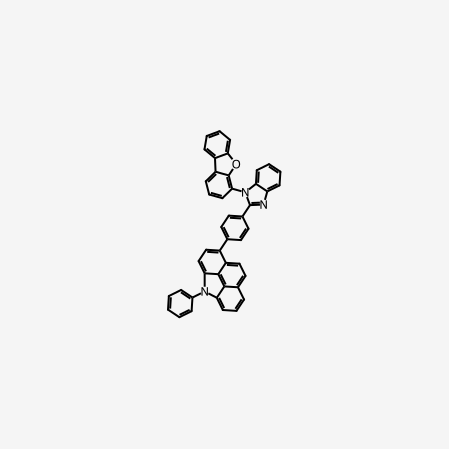 c1ccc(-n2c3cccc4ccc5c(-c6ccc(-c7nc8ccccc8n7-c7cccc8c7oc7ccccc78)cc6)ccc2c5c43)cc1